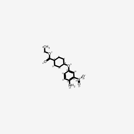 CCOC(=O)C1CCC(Oc2ccc(N)c([N+](=O)[O-])c2)CC1